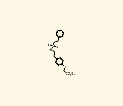 CCOC(=O)COc1ccc(CCNS(=O)(=O)CCc2ccccc2)cc1